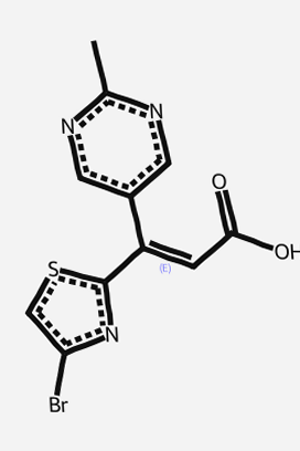 Cc1ncc(/C(=C\C(=O)O)c2nc(Br)cs2)cn1